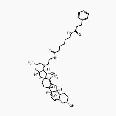 CC1=C2C[C@H]3[C@@H](CC=C4C[C@@H](O)CC[C@@]43C)[C@@H]2CC[C@]12O[C@@H]1C[C@H](C)CN(CCNC(=O)CCCCCNC(=O)CCc3ccccc3)[C@H]1[C@H]2C